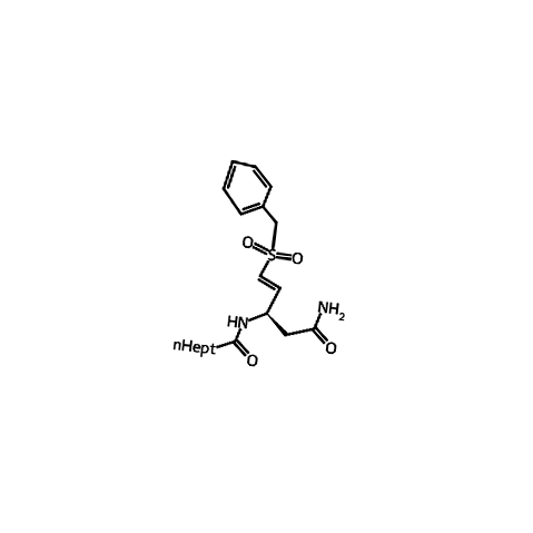 CCCCCCCC(=O)N[C@@H](/C=C/S(=O)(=O)Cc1ccccc1)CC(N)=O